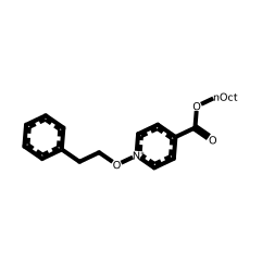 CCCCCCCCOC(=O)c1cc[n+](OCCc2ccccc2)cc1